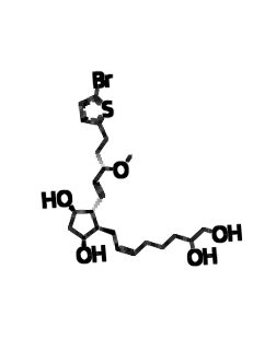 CO[C@H](/C=C/[C@@H]1[C@@H](C/C=C\CCCC(O)CO)[C@@H](O)C[C@H]1O)CCc1ccc(Br)s1